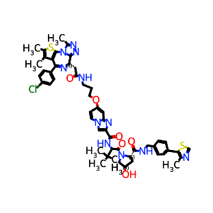 Cc1ncsc1-c1ccc(CNC(=O)[C@@H]2C[C@@H](O)CN2C(=O)C(NC(=O)c2cn3ccc(OCCCNC(=O)C[C@@H]4N=C(c5ccc(Cl)cc5)c5c(sc(C)c5C)-n5c(C)nnc54)cc3n2)C(C)(C)C)cc1